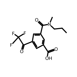 CCCN(C)C(=O)c1cc(C(=O)O)cc(C(=O)C(F)(F)F)c1